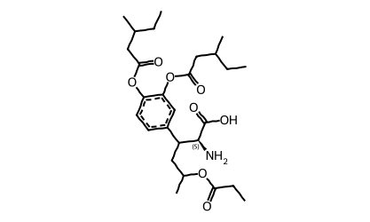 CCC(=O)OC(C)CC(c1ccc(OC(=O)CC(C)CC)c(OC(=O)CC(C)CC)c1)[C@H](N)C(=O)O